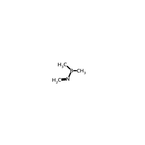 C=NB(C)C